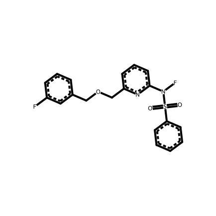 O=S(=O)(c1ccccc1)N(F)c1cccc(COCc2cccc(F)c2)n1